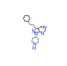 c1ccc(CCc2nn(C3CCNCC3)c3ncncc23)cc1